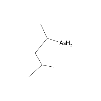 CC(C)CC(C)[AsH2]